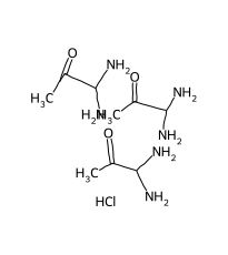 CC(=O)C(N)N.CC(=O)C(N)N.CC(=O)C(N)N.Cl